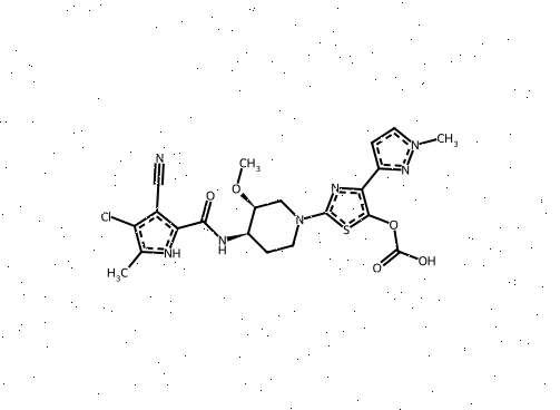 CO[C@H]1CN(c2nc(-c3ccn(C)n3)c(OC(=O)O)s2)CC[C@H]1NC(=O)c1[nH]c(C)c(Cl)c1C#N